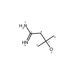 CC(C)([O])CC(=N)N